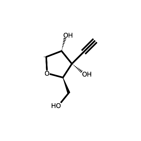 C#C[C@]1(O)[C@@H](O)[CH]O[C@@H]1CO